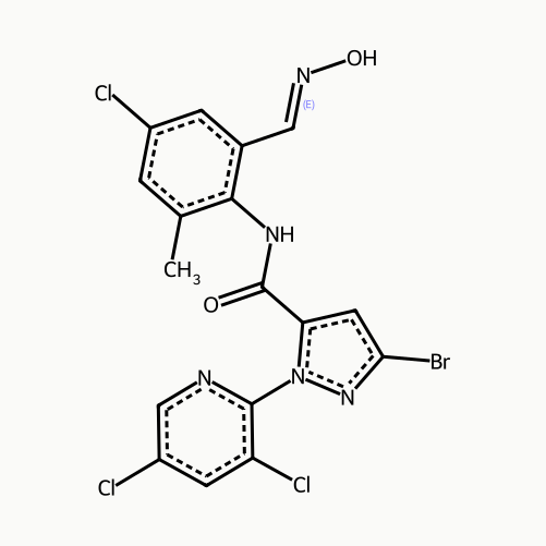 Cc1cc(Cl)cc(/C=N/O)c1NC(=O)c1cc(Br)nn1-c1ncc(Cl)cc1Cl